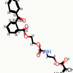 C=C(C)C(=O)OCCNC(=O)OCCOC(=O)c1ccccc1C(=O)c1ccccc1